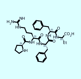 CC[C@H](NC(=O)[C@H](Cc1ccccc1)NC(=O)[C@H](Cc1ccccc1)NC(=O)[C@H](CCCNC(=N)N)NC(=O)[C@@H]1CCCN1)C(=O)O